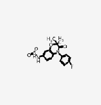 CC1(C)Oc2cc(N[SH](=O)=O)ccc2N(c2ccc(F)cc2)C1=O